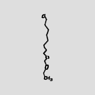 CCOCOCCCCCCCCCl